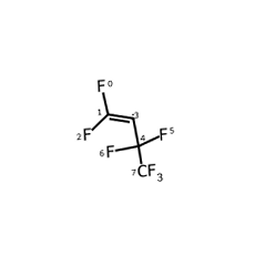 FC(F)=[C]C(F)(F)C(F)(F)F